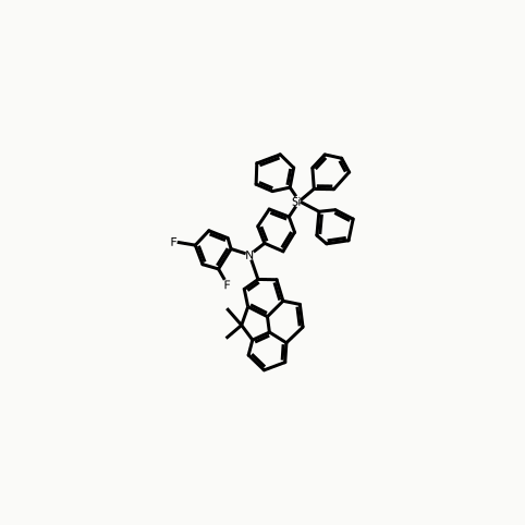 CC1(C)c2cccc3ccc4cc(N(c5ccc([Si](c6ccccc6)(c6ccccc6)c6ccccc6)cc5)c5ccc(F)cc5F)cc1c4c23